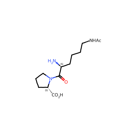 CC(=O)NCCCC[C@H](N)C(=O)N1CCC[C@H]1C(=O)O